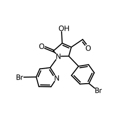 O=CC1=C(O)C(=O)N(c2cc(Br)ccn2)C1c1ccc(Br)cc1